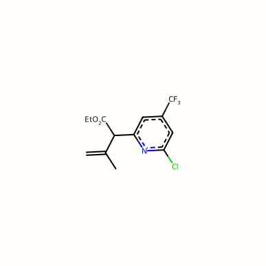 C=C(C)C(C(=O)OCC)c1cc(C(F)(F)F)cc(Cl)n1